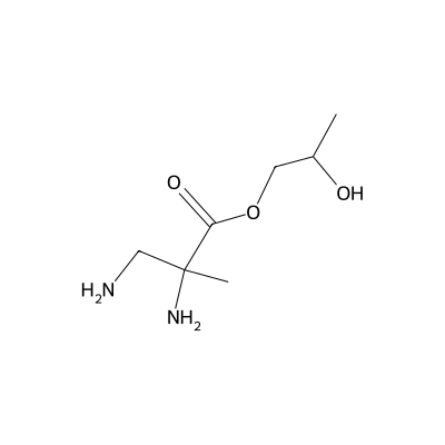 CC(O)COC(=O)C(C)(N)CN